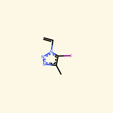 C=Cn1nnc(C)c1I